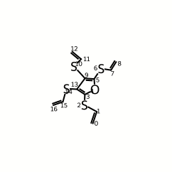 C=CSc1oc(SC=C)c(SC=C)c1SC=C